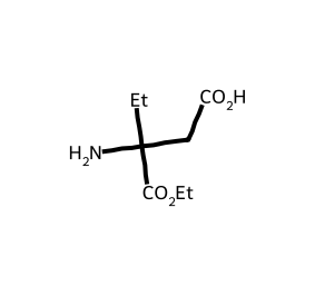 CCOC(=O)C(N)(CC)CC(=O)O